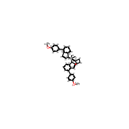 CC(C)Oc1ccc(-c2cccc3c2C=C[CH]3[Hf]([CH3])([CH3])(=[C]2CCC2)[CH]2C=Cc3c(-c4ccc(OC(C)C)cc4)cccc32)cc1